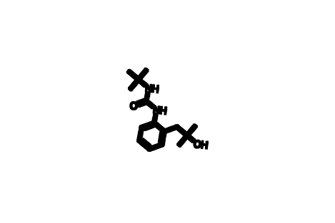 CC(C)(O)Cc1ccccc1NC(=O)NC(C)(C)C